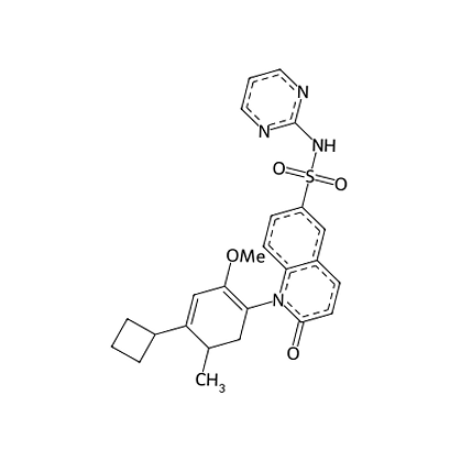 COC1=C(n2c(=O)ccc3cc(S(=O)(=O)Nc4ncccn4)ccc32)CC(C)C(C2CCC2)=C1